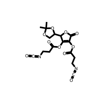 CC1(C)OCC(C2OC(=O)C(OC(=O)CCN=C=O)=C2OC(=O)CCN=C=O)O1